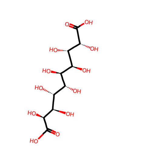 O=C(O)[C@@H](O)[C@H](O)[C@H](O)[C@@H](O)[C@@H](O)[C@H](O)[C@H](O)[C@@H](O)C(=O)O